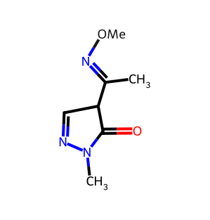 CON=C(C)C1C=NN(C)C1=O